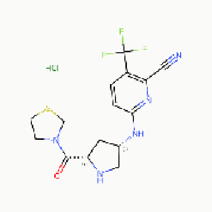 Cl.N#Cc1nc(N[C@@H]2CN[C@H](C(=O)N3CCSC3)C2)ccc1C(F)(F)F